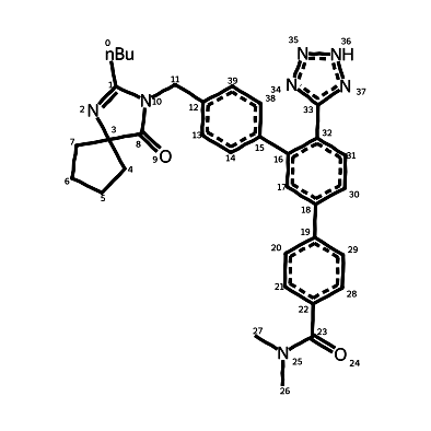 CCCCC1=NC2(CCCC2)C(=O)N1Cc1ccc(-c2cc(-c3ccc(C(=O)N(C)C)cc3)ccc2-c2nn[nH]n2)cc1